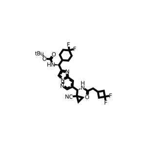 CC(C)(C)OC(=O)N[C@H](c1cn2ncc([C@H](NC(=O)CC3CC(F)(F)C3)C3(C#N)CC3)cc2n1)C1CCC(F)(F)CC1